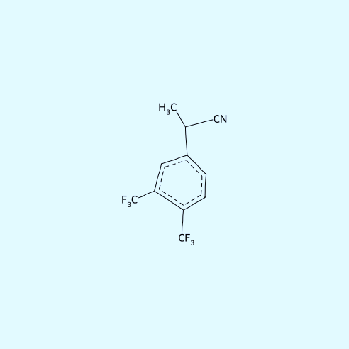 CC(C#N)c1ccc(C(F)(F)F)c(C(F)(F)F)c1